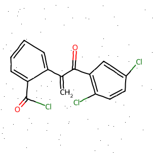 C=C(C(=O)c1cc(Cl)ccc1Cl)c1ccccc1C(=O)Cl